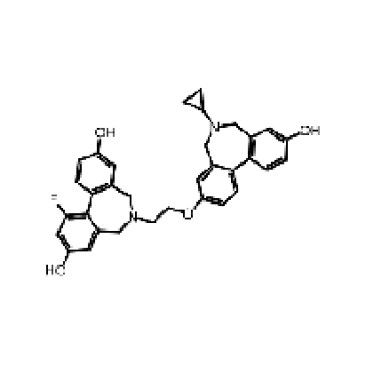 Oc1ccc2c(c1)CN(C1CC1)Cc1cc(OCCN3Cc4cc(O)ccc4-c4c(F)cc(O)cc4C3)ccc1-2